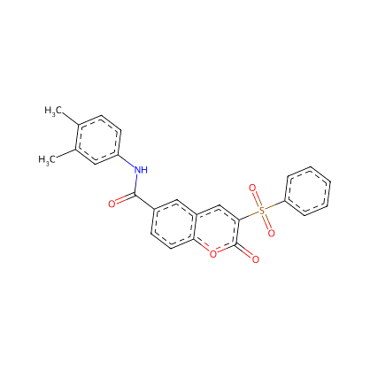 Cc1ccc(NC(=O)c2ccc3oc(=O)c(S(=O)(=O)c4ccccc4)cc3c2)cc1C